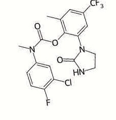 Cc1cc(C(F)(F)F)cc(N2CCNC2=O)c1OC(=O)N(C)c1ccc(F)c(Cl)c1